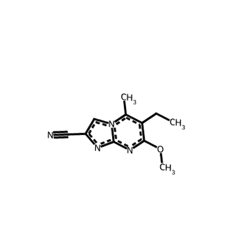 CCc1c(OC)nc2nc(C#N)cn2c1C